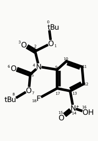 CC(C)(C)OC(=O)N(C(=O)OC(C)(C)C)c1cccc([N+](=O)O)c1F